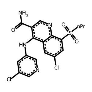 CCCS(=O)(=O)c1cc(Cl)cc2c(Nc3cncc(Cl)c3)c(C(N)=O)cnc12